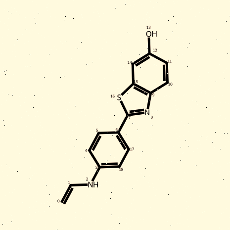 C=CNc1ccc(-c2nc3ccc(O)cc3s2)cc1